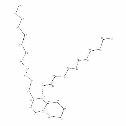 CCCCCCCCCCCCC1CCC2CCCCC2C1CCCCCCCCCCCC